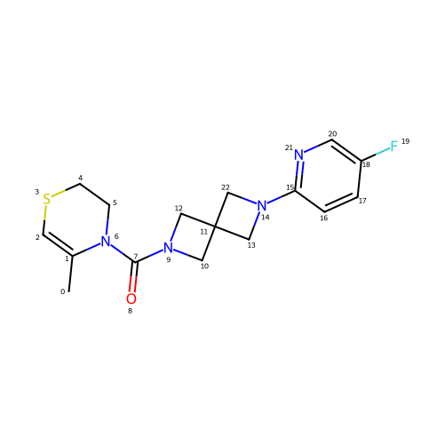 CC1=CSCCN1C(=O)N1CC2(C1)CN(c1ccc(F)cn1)C2